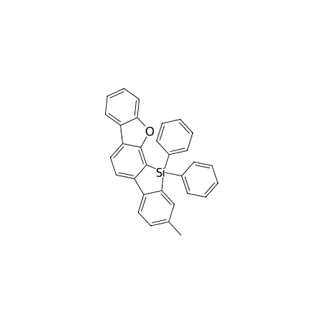 Cc1ccc2c(c1)[Si](c1ccccc1)(c1ccccc1)c1c-2ccc2c1oc1ccccc12